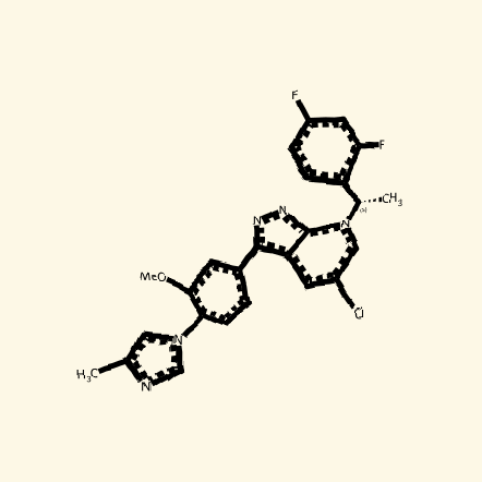 COc1cc(-c2nnc3n([C@@H](C)c4ccc(F)cc4F)cc(Cl)cc2-3)ccc1-n1cnc(C)c1